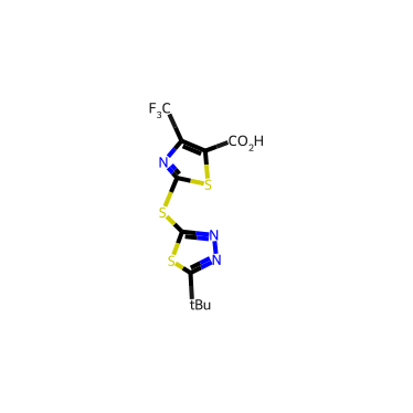 CC(C)(C)c1nnc(Sc2nc(C(F)(F)F)c(C(=O)O)s2)s1